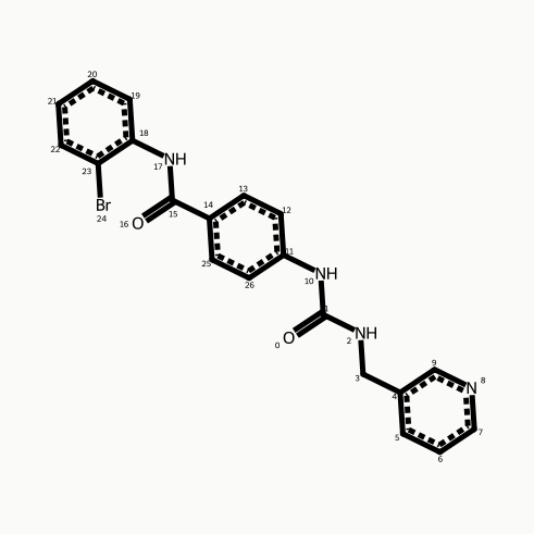 O=C(NCc1cccnc1)Nc1ccc(C(=O)Nc2ccccc2Br)cc1